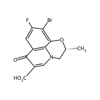 C[C@@H]1Cn2cc(C(=O)O)c(=O)c3cc(F)c(Br)c(c32)O1